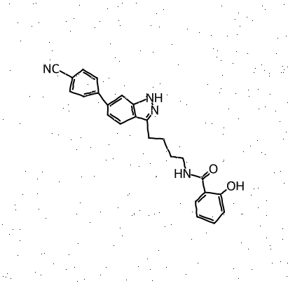 N#Cc1ccc(-c2ccc3c(CCCCNC(=O)c4ccccc4O)n[nH]c3c2)cc1